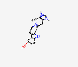 CSc1c(Cc2nccc3c2[nH]c2ccc(O)cc23)n(C)c[n+]1C